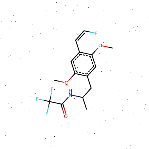 COc1cc(CC(C)NC(=O)C(F)(F)F)c(OC)cc1/C=C\F